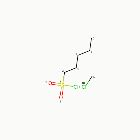 CCCCCS(=O)(=O)Cl.CCl